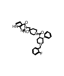 O=C([C@@H]1CCN(Cc2ccccc2F)C[C@H]1c1ccccc1)N1CCC(O)(Cn2cnc3[nH]ccc3c2=O)CC1